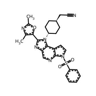 Cc1nc(C)c(-c2nc3cnc4c(ccn4S(=O)(=O)c4ccccc4)c3n2[C@H]2CC[C@H](CC#N)CC2)o1